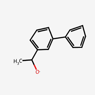 CC([O])c1cccc(-c2ccccc2)c1